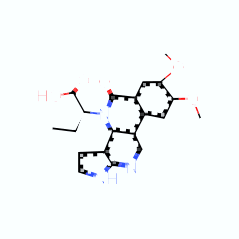 CC[C@@H](C(=O)O)n1c(=O)c2cc(OC)c(OC)cc2c2cnc3[nH]ccc3c21